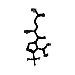 NC(=O)CC[C@H](N)C(=O)N1CN=C(C(F)(F)F)C1B(O)O